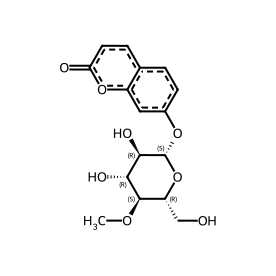 CO[C@H]1[C@H](O)[C@@H](O)[C@H](Oc2ccc3ccc(=O)oc3c2)O[C@@H]1CO